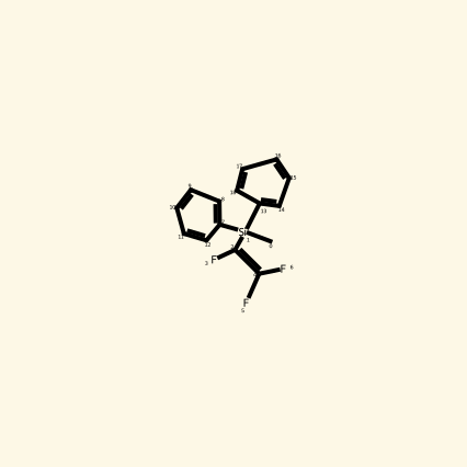 C[Si](C(F)=C(F)F)(c1ccccc1)c1ccccc1